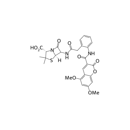 COc1cc(OC)c2cc(C(=O)Nc3ccccc3CC(=O)NC3C(=O)N4[C@@H]3SC(C)(C)[C@@H]4C(=O)O)c(=O)oc2c1